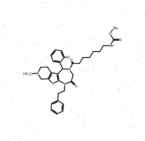 CC(C)(C)OC(=O)NCCCCCCC(=O)N1CC(=O)N(CCc2ccccc2)c2sc3c(c2C1c1ccccc1Cl)CCN(C(=O)O)C3